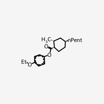 CCCCC[C@H]1CC[C@@H](C(=O)Oc2ccc(OCC)cc2)[C@H](C)C1